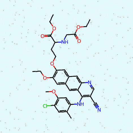 CCOC(=O)CNC(CCOc1cc2cc3ncc(C#N)c(Nc4cc(OC)c(Cl)cc4C)c3cc2cc1OCC)C(=O)OCC